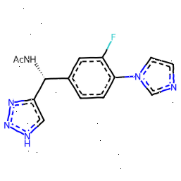 CC(=O)N[C@H](c1ccc(-n2ccnc2)c(F)c1)c1c[nH]nn1